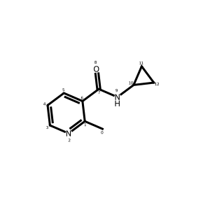 Cc1ncccc1C(=O)NC1CC1